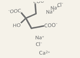 O=C([O-])CC(O)(CC(=O)[O-])C(=O)[O-].[Ca+2].[Cl-].[Cl-].[Na+].[Na+].[Na+]